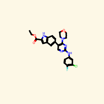 CCOC(=O)c1cc2cc(-c3cnc(Nc4ccc(F)c(Cl)c4)nc3N3CCOCC3)ccc2[nH]1